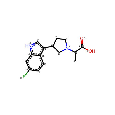 CC(C(=O)O)N1CCC(c2c[nH]c3cc(F)ccc23)C1